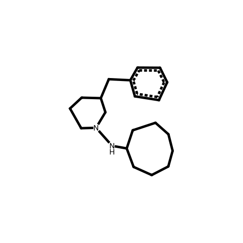 c1ccc(CC2CCCN(NC3CCCCCCC3)C2)cc1